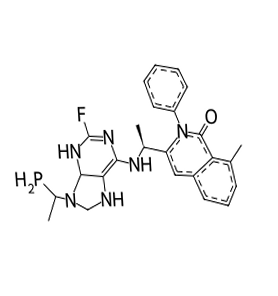 Cc1cccc2cc([C@H](C)NC3=C4NCN(C(C)P)C4NC(F)=N3)n(-c3ccccc3)c(=O)c12